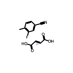 Cc1ccc(C#N)cc1F.O=C(O)/C=C/C(=O)O